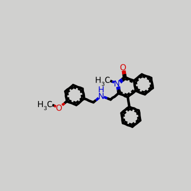 COc1cccc(CNCc2c(-c3ccccc3)c3ccccc3c(=O)n2C)c1